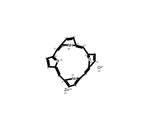 C1=Cc2cc3ccc(cc4nc(cc5ccc(cc1n2)[nH]5)C=C4)[nH]3.[O-2].[Zn+2]